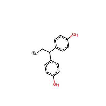 CC(C)(C)CC(c1ccc(O)cc1)c1ccc(O)cc1